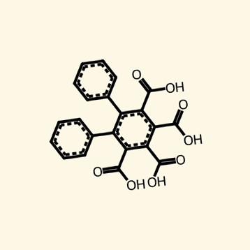 O=C(O)c1c(C(=O)O)c(C(=O)O)c(-c2ccccc2)c(-c2ccccc2)c1C(=O)O